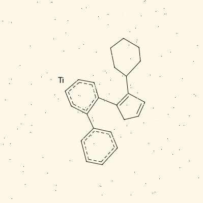 C1=CC(C2CCCCC2)=C(c2ccccc2-c2ccccc2)C1.[Ti]